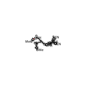 COc1ccc(COC(=O)NCCCCN(CCCNC(=O)OCc2ccc(OC)cc2)CCCOc2ccc3sc(S(=O)(=O)NCP(=O)(Oc4ccc(C#N)c(F)c4)Oc4ccc(C#N)c(F)c4)c(C)c3c2)cc1